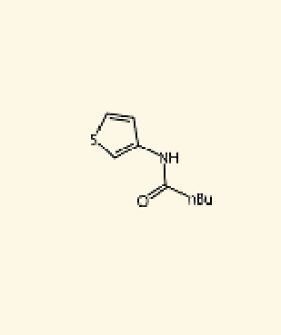 CCCCC(=O)Nc1ccsc1